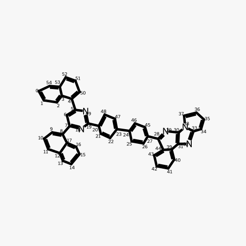 c1ccc2c(-c3cc(-c4cccc5ccccc45)nc(-c4ccc(-c5ccc(-c6nc7c(nc8ccccn87)c7ccccc67)cc5)cc4)n3)cccc2c1